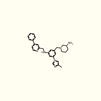 Cc1cn(-c2cc(CN3CCC[C@H](N)C3)cc(NCc3cc(-c4ccccc4)ccn3)c2)cn1